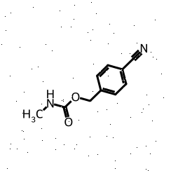 CNC(=O)OCc1ccc(C#N)cc1